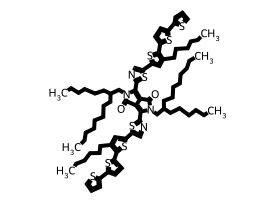 CCCCCCCCC(CCCCCC)CN1C(=O)C2=C(c3ncc(-c4cc(CCCCCC)c(-c5ccc(-c6cccs6)s5)s4)s3)N(CC(CCCCCC)CCCCCCCC)C(=O)C2=C1c1ncc(-c2cc(CCCCCC)c(-c3ccc(-c4cccs4)s3)s2)s1